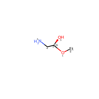 CCO[C@H](O)CN